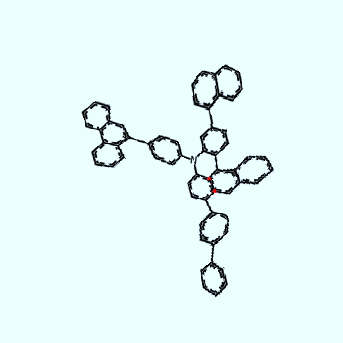 c1ccc(-c2ccc(-c3ccc(N(c4ccc(-c5cc6ccccc6c6ccccc56)cc4)c4cc(-c5cccc6ccccc56)ccc4-c4cccc5ccccc45)cc3)cc2)cc1